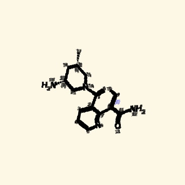 C=C(c1cccnc1/C(=C\C)C(N)=O)N1C[C@@H](C)C[C@@H](N)C1